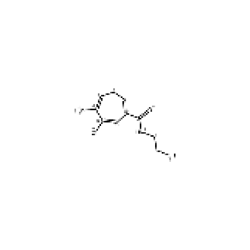 O=C(NCCO)C1=CCC=C(P)C(Cl)=C1